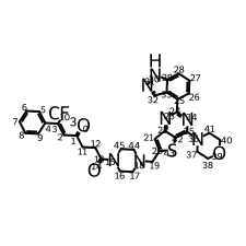 O=C(/C=C(/c1ccccc1)C(F)(F)F)CCC(=O)N1CCN(Cc2cc3nc(-c4cccc5[nH]ncc45)nc(N4CCOCC4)c3s2)CC1